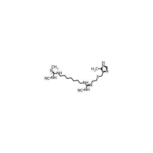 C/N=C(/NC#N)NCCCCCCCN/C(=N\CCSCc1nc[nH]c1C)NC#N